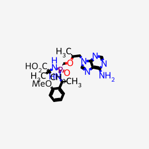 COc1ccccc1[C@H](C)N[P@@](=O)(CO[C@H](C)Cn1cnc2c(N)ncnc21)NC(C)(C)C(=O)O